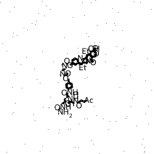 CCc1c2c(nc3ccc(OC(=O)N(C)CCN(C)C(=O)OCc4ccc(NC(=O)[C@H](CCCNC(N)=O)NC(=O)[C@H](C)NC(=O)CCC(C)=O)cc4)cc13)-c1cc3c(c(=O)n1C2)COC(=O)[C@]3(O)CC